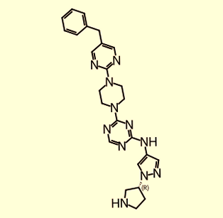 c1ccc(Cc2cnc(N3CCN(c4ncnc(Nc5cnn([C@@H]6CCNC6)c5)n4)CC3)nc2)cc1